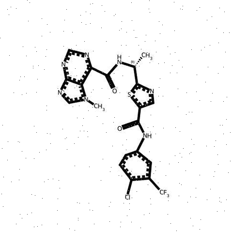 C[C@@H](NC(=O)c1ncnc2ncn(C)c12)c1ncc(C(=O)Nc2ccc(Cl)c(C(F)(F)F)c2)s1